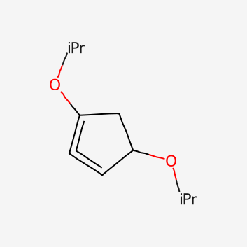 CC(C)OC1=C=CC(OC(C)C)C1